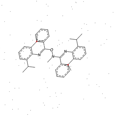 CC(C)c1cccc(C(C)C)c1/N=C(/ON(C)/C(=N/c1c(C(C)C)cccc1C(C)C)c1ccccc1)c1ccccc1